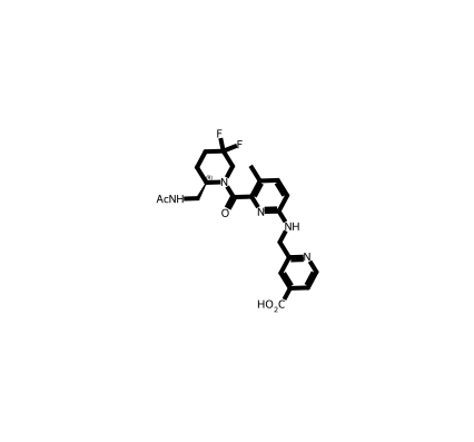 CC(=O)NC[C@H]1CCC(F)(F)CN1C(=O)c1nc(NCc2cc(C(=O)O)ccn2)ccc1C